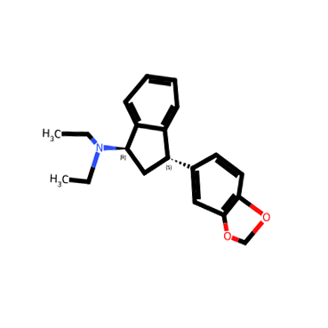 CCN(CC)[C@@H]1C[C@@H](c2ccc3c(c2)OCO3)c2ccccc21